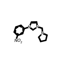 O=[N+]([O-])c1cccc(N2C=CN(CN3CCCC3)C2)c1